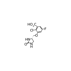 O=C1NC[C@@H](COc2cc(F)cc(C(=O)O)c2Cl)N1